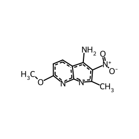 COc1ccc2c(N)c([N+](=O)[O-])c(C)nc2n1